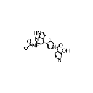 CC1CN(C(=O)c2ccncc2O)CC=C1c1cc(NC(=O)C2CC2)nc2[nH]ccc12